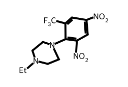 CCN1CCN(c2c([N+](=O)[O-])cc([N+](=O)[O-])cc2C(F)(F)F)CC1